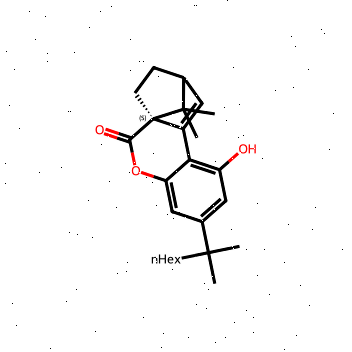 CCCCCCC(C)(C)c1cc(O)c2c(c1)OC(=O)[C@]13CCC(C=C21)C3(C)C